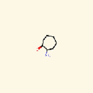 NC1CCCCCC1=O